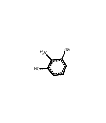 CCCCc1cccc(C#N)c1N